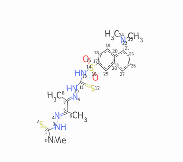 CNC(=S)N/N=C(C)/C(C)=N/NC(=S)NS(=O)(=O)c1ccc2c(N(C)C)cccc2c1